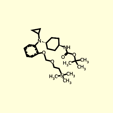 CC(C)(C)OC(=O)N[C@H]1CC[C@H](N(c2ccccc2OCOCC[Si](C)(C)C)C2CC2)CC1